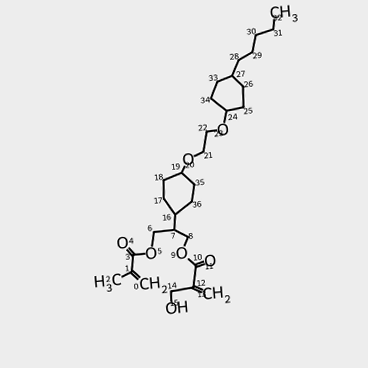 C=C(C)C(=O)OCC(COC(=O)C(=C)CO)C1CCC(OCCOC2CCC(CCCCC)CC2)CC1